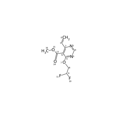 C=Cc1ncnc(OCC(F)F)c1C(=O)OC